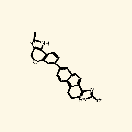 Cc1nc2c([nH]1)-c1ccc(-c3ccc4c5c(ccc4c3)-c3nc(C(C)C)[nH]c3CC5)cc1OC2